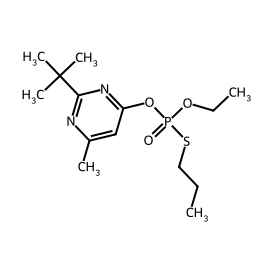 CCCSP(=O)(OCC)Oc1cc(C)nc(C(C)(C)C)n1